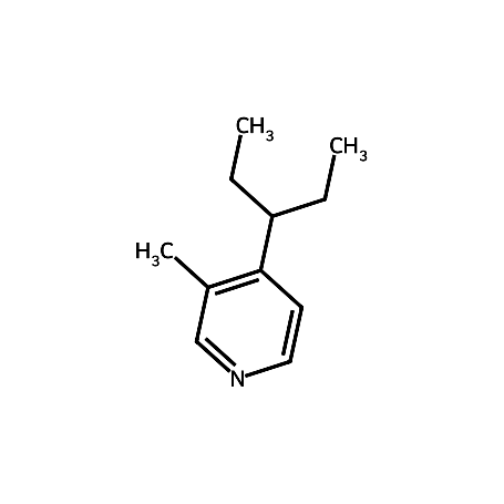 CCC(CC)c1ccncc1C